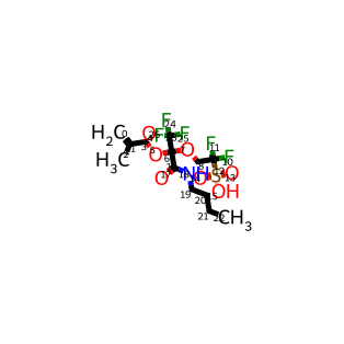 C=C(C)C(=O)OC(OCC(F)(F)S(=O)(=O)O)(C(=O)NCCCC)C(F)(F)F